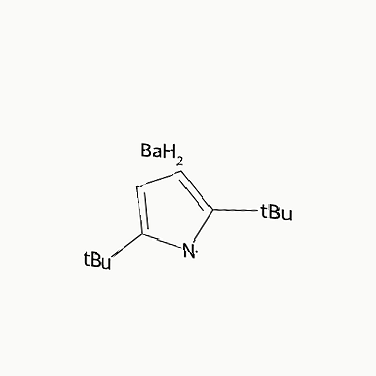 CC(C)(C)C1=CC=C(C(C)(C)C)[N]1.[BaH2]